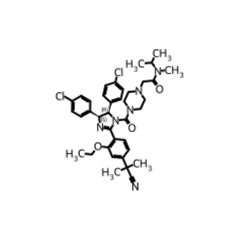 CCOc1cc(C(C)(C)C#N)ccc1C1=N[C@@H](c2ccc(Cl)cc2)[C@@H](c2ccc(Cl)cc2)N1C(=O)N1CCN(CC(=O)N(C)C(C)C)CC1